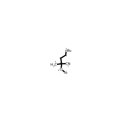 CCCCCCC(C)(C#N)O[N]